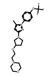 Cc1cc(N2CCC(OCCN3CCOCC3)C2)nn1-c1ccc(OC(F)(F)F)cc1